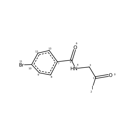 O=C(I)CNC(=O)c1ccc(Br)cc1